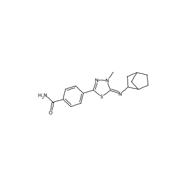 Cn1nc(-c2ccc(C(N)=O)cc2)sc1=NC1CC2CCC1C2